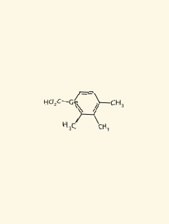 CC1=C(C)[C](C)=[Ge]([C](=O)O)[CH]=C1